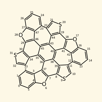 c1ccc2c(c1)oc1c3scc4c5cccc6oc7c8scc9c%10cccc%11oc%12c%13sccc%13c%13c(c21)c(c43)c(c7c65)c(c98)c%13c%12c%11%10